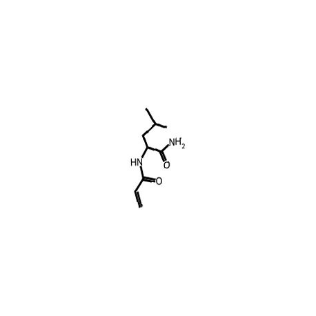 C=CC(=O)NC(CC(C)C)C(N)=O